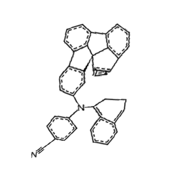 N#Cc1ccc(N(C2=c3ccccc3=CCC2)c2ccc3c(c2)[C@]24c5ccccc5-c5cccc(c52)-c2cccc-3c24)cc1